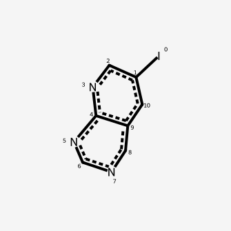 Ic1cnc2ncncc2c1